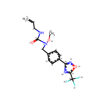 C=CCNC(=O)N(Cc1ccc(-c2noc(C(F)(F)F)n2)cc1)OC